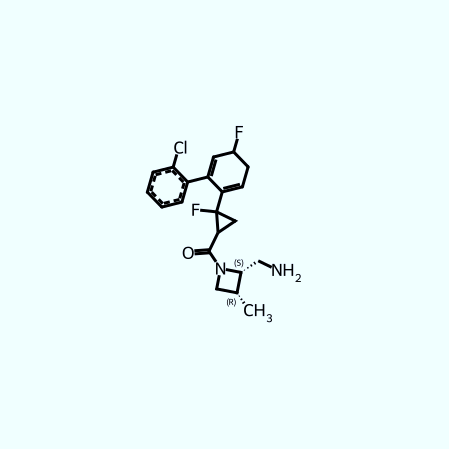 C[C@@H]1CN(C(=O)C2CC2(F)C2=CCC(F)C=C2c2ccccc2Cl)[C@@H]1CN